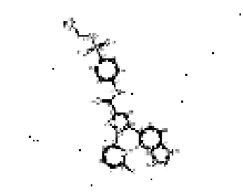 Cc1cccc(-n2nc(C(=O)Nc3ccc(S(=O)(=O)NCC(F)(F)F)cc3)cc2-c2ccc3ncsc3c2)n1